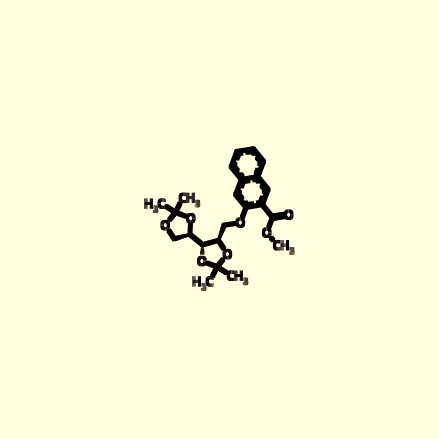 COC(=O)c1cc2ccccc2cc1OC[C@H]1OC(C)(C)O[C@@H]1[C@H]1COC(C)(C)O1